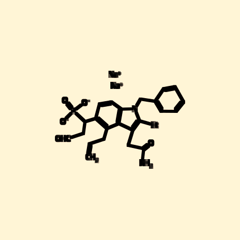 C=CCc1c(C(CC=O)P(=O)([O-])[O-])ccc2c1c(CC(N)=O)c(CC)n2Cc1ccccc1.[Na+].[Na+]